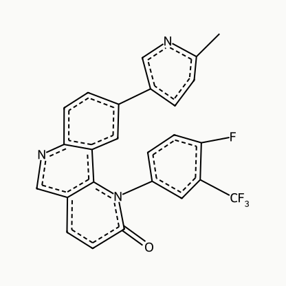 Cc1ccc(-c2ccc3ncc4ccc(=O)n(-c5ccc(F)c(C(F)(F)F)c5)c4c3c2)cn1